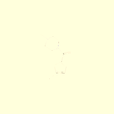 CN1CCN(C(=O)c2ccc(C(C)(C)C)s2)CC1